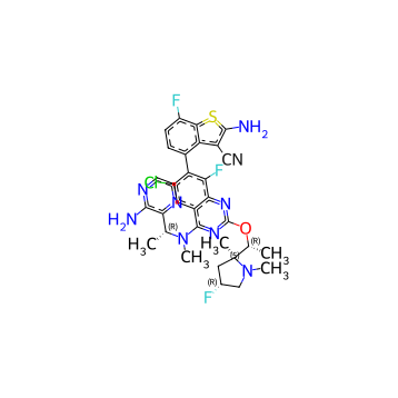 C[C@H](c1nccnc1N)N(C)c1nc(O[C@H](C)[C@]2(C)C[C@@H](F)CN2C)nc2c(F)c(-c3ccc(F)c4sc(N)c(C#N)c34)c(Cl)cc12